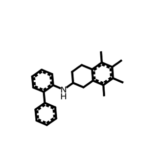 Cc1c(C)c(C)c2c(c1C)CCC(Nc1ccccc1-c1ccccc1)C2